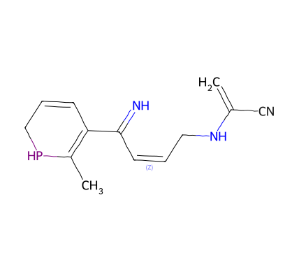 C=C(C#N)NC/C=C\C(=N)C1=C(C)PCC=C1